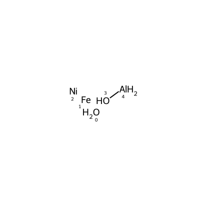 O.[Fe].[Ni].[OH][AlH2]